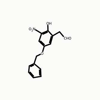 O=CCc1cc(OCc2ccccc2)cc([N+](=O)[O-])c1O